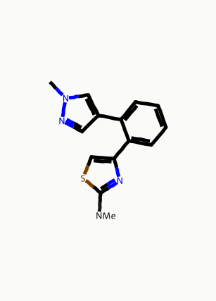 CNc1nc(-c2ccccc2-c2cnn(C)c2)cs1